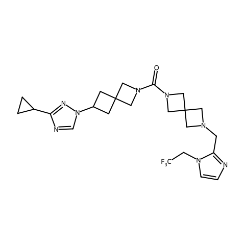 O=C(N1CC2(CC(n3cnc(C4CC4)n3)C2)C1)N1CC2(CN(Cc3nccn3CC(F)(F)F)C2)C1